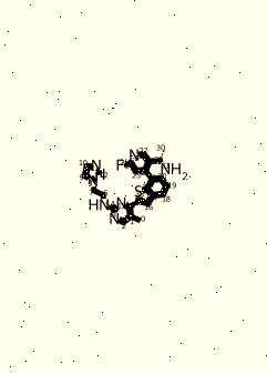 Cc1cnc(NCCn2ccnn2)nc1-c1cc2cccc(-c3cc(F)ncc3[C@H](C)N)c2s1